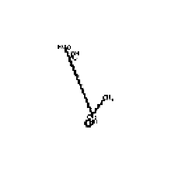 CCCCCCCCC(CCCCCCCCCCCCCCCCCCCCCCCC(CCCC(=O)O)C(=O)O)C(=O)OC1=CC=CC=CN1